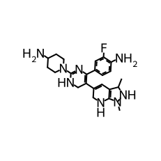 CC1NN(C)C2=C1C=C(C1=C(c3ccc(N)c(F)c3)N=C(N3CCC(N)CC3)NC1)CN2